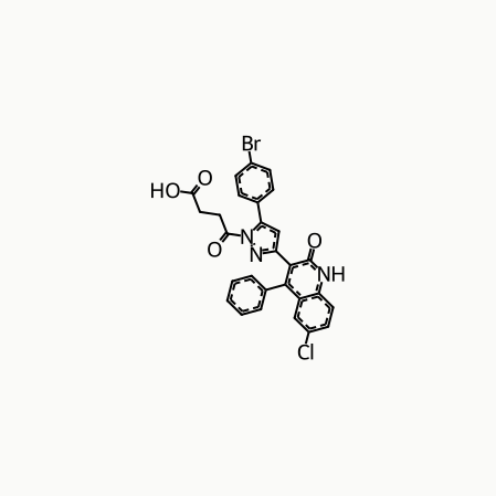 O=C(O)CCC(=O)n1nc(-c2c(-c3ccccc3)c3cc(Cl)ccc3[nH]c2=O)cc1-c1ccc(Br)cc1